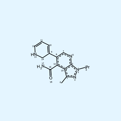 Cc1nn(C(C)C)c2ncc(C3=CC=CNC3)c(C(N)=O)c12